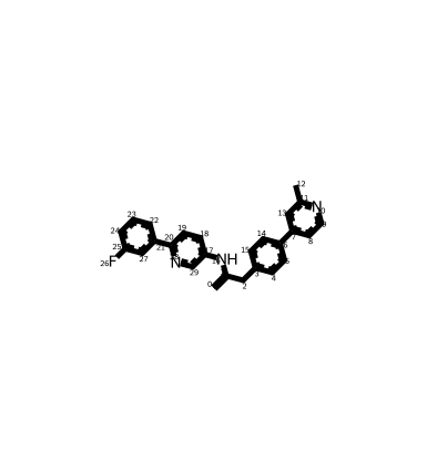 C=C(Cc1ccc(-c2ccnc(C)c2)cc1)Nc1ccc(-c2cccc(F)c2)nc1